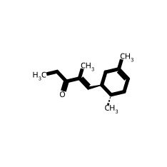 CCC(=O)/C(C)=C/[C@H]1CC(C)=CC[C@@H]1C